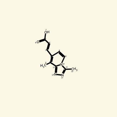 Cc1c(/C=C/C(=O)O)ccn2c(C)nnc12